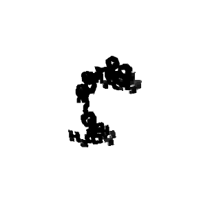 CC(C)(C)OC(=O)N1CCC(CCc2noc3c(CO)c(OCC4CC4CO[Si](c4ccccc4)(c4ccccc4)C(C)(C)C)ccc23)CC1